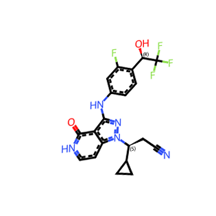 N#CC[C@@H](C1CC1)n1nc(Nc2ccc([C@@H](O)C(F)(F)F)c(F)c2)c2c(=O)[nH]ccc21